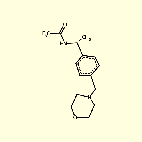 C[C@@H](NC(=O)C(F)(F)F)c1ccc(CN2CCOCC2)cc1